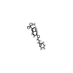 O=C(O)c1ccc2cc(OCCCN3CCCCC3)ccc2c1